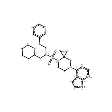 O=S(=O)(N(CCc1ccccc1)CC1CCCCC1)N1CCN(c2ncnc3[nH]ccc23)CC12CC2